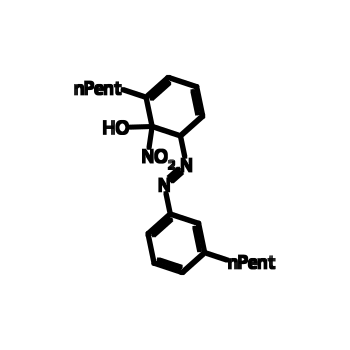 CCCCCC1=CC=CC(N=Nc2cccc(CCCCC)c2)C1(O)[N+](=O)[O-]